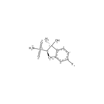 C[C@H]([C@@](C)(O)c1ccc(F)cn1)S(N)(=O)=O